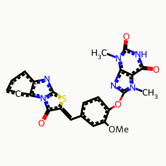 COc1cc(/C=c2\sc3nc4ccccc4n3c2=O)ccc1Oc1nc2c(c(=O)[nH]c(=O)n2C)n1C